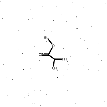 CCOC(=O)C(C)P